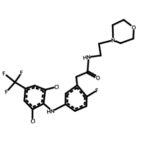 O=C(Cc1cc(Nc2c(Cl)cc(C(F)(F)F)cc2Cl)ccc1F)NCCN1CCOCC1